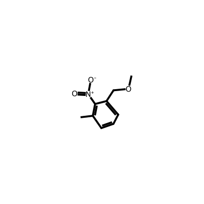 COCc1cccc(C)c1[N+](=O)[O-]